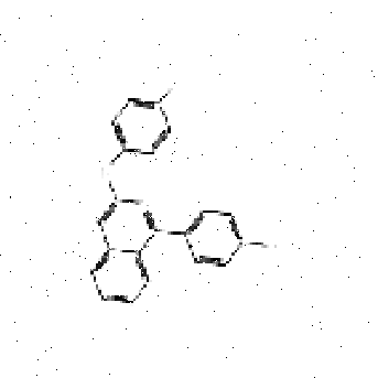 Oc1ccc(Nc2cc3ccccc3c(-c3ccc(O)cc3)n2)cc1